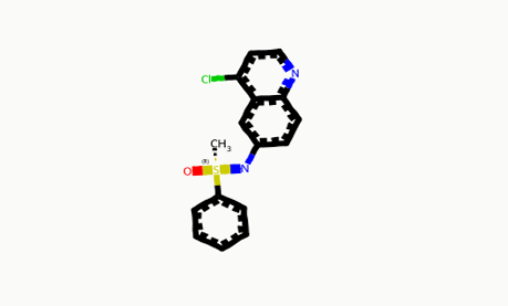 C[S@](=O)(=Nc1ccc2nccc(Cl)c2c1)c1ccccc1